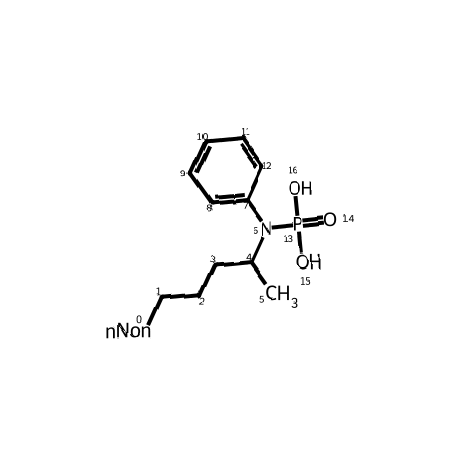 CCCCCCCCCCCCC(C)N(c1ccccc1)P(=O)(O)O